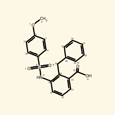 COc1ccc(S(=O)(=O)Nc2cccc(C(=O)O)c2Cc2ccccc2)cc1